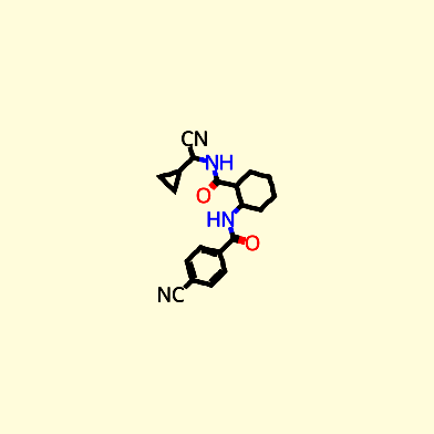 N#Cc1ccc(C(=O)NC2CCCCC2C(=O)NC(C#N)C2CC2)cc1